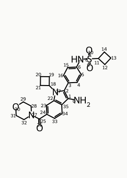 Nc1c(-c2ccc(NS(=O)(=O)C3CCC3)cc2)n(C2CCC2)c2cc(C(=O)N3CCOCC3)ccc12